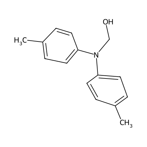 Cc1ccc(N(CO)c2ccc(C)cc2)cc1